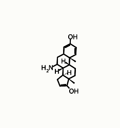 C[C@]12C=CC(O)=CC1CC(N)[C@@H]1[C@H]2CC[C@]2(C)C(O)=CC[C@@H]12